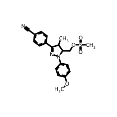 COc1ccc(N2N=C(c3ccc(C#N)cc3)C(C)C2COS(C)(=O)=O)cc1